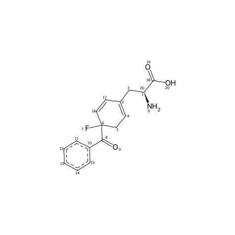 N[C@@H](CC1=CCC(F)(C(=O)c2ccccc2)C=C1)C(=O)O